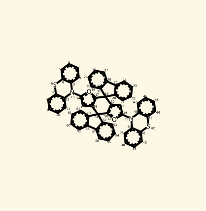 c1ccc2c(c1)Sc1ccccc1N2c1cc2c(o1)C1(c3ccccc3-c3ccccc31)c1cc(N3c4ccccc4Sc4ccccc43)oc1C21c2ccccc2-c2ccccc21